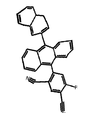 N#Cc1cc(C#N)c(-c2c3ccccc3c(C3=CCC4C=CC=CC4=C3)c3ccccc23)cc1F